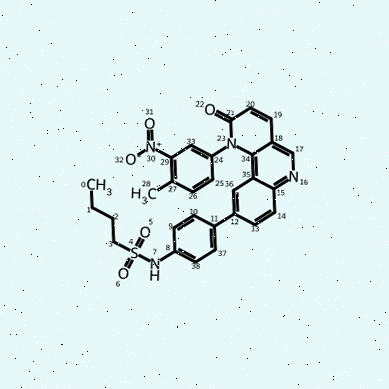 CCCCS(=O)(=O)Nc1ccc(-c2ccc3ncc4ccc(=O)n(-c5ccc(C)c([N+](=O)[O-])c5)c4c3c2)cc1